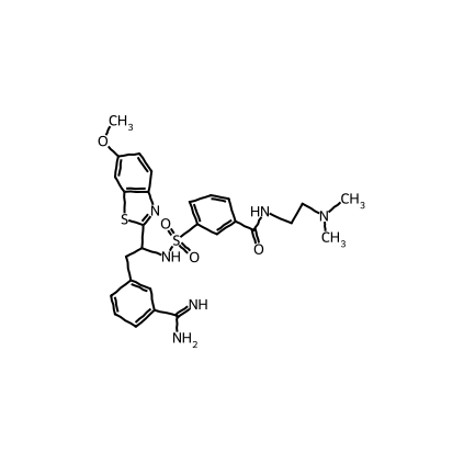 COc1ccc2nc(C(Cc3cccc(C(=N)N)c3)NS(=O)(=O)c3cccc(C(=O)NCCN(C)C)c3)sc2c1